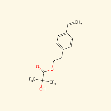 C=Cc1ccc(CCOC(=O)C(O)(C(F)(F)F)C(F)(F)F)cc1